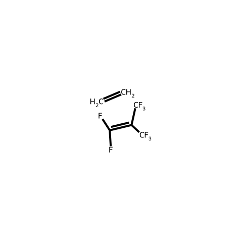 C=C.FC(F)=C(C(F)(F)F)C(F)(F)F